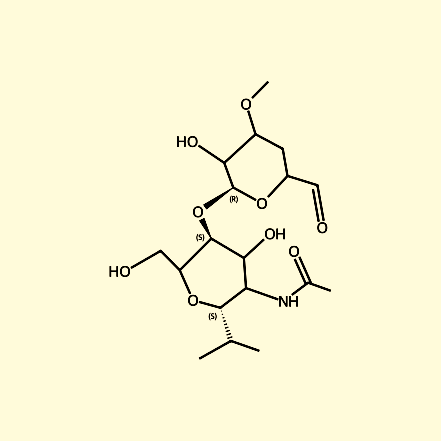 COC1CC(C=O)O[C@@H](O[C@@H]2C(CO)O[C@@H](C(C)C)C(NC(C)=O)C2O)C1O